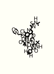 CC[C@@H]1C[C@]1(NC(=O)[C@@H]1C[C@@H](Oc2cc(-c3csc(NC(C)C)n3)nc3c(Cl)c(OCCN4CCOCC4)ccc23)CN1C(=O)[C@@H](NC(=O)OC1C[C@@H]2C[C@@H]2C1)C(C)(C)C)C(=O)O